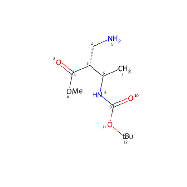 COC(=O)[C@H](CN)C(C)NC(=O)OC(C)(C)C